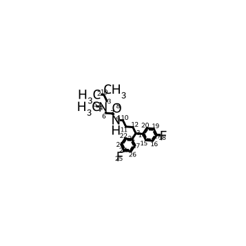 CC(C)CN(C)CC(=O)NCCCC(c1ccc(F)cc1)c1ccc(F)cc1